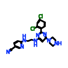 N#Cc1ccc(NCCNc2cc(N3CCNCC3)nc(-c3ccc(Cl)cc3Cl)n2)nc1